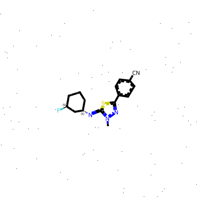 Cn1nc(-c2ccc(C#N)cc2)sc1=N[C@H]1CCC[C@H](F)C1